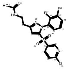 O=C(O)NCCc1cc(S(=O)(=O)c2ccc(Cl)nc2)n(-c2cccc(F)c2F)n1